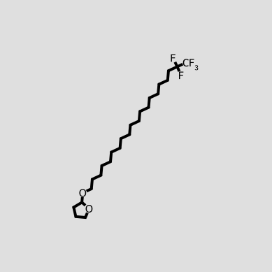 FC(F)(F)C(F)(F)CCCCCCCCCCCCCCCCCCOC1CCCO1